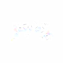 COc1cc(C(=O)N2[C@H]3CC[C@@H]2[C@H](N)C3)cc2nc(-c3cc4ccc([C@@H](C)NC(=O)N5CC[C@H](F)C5)nc4n3CC3CC3)c(C3CC3)n12